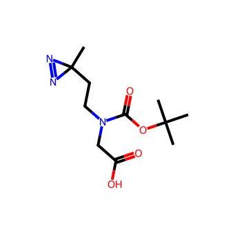 CC1(CCN(CC(=O)O)C(=O)OC(C)(C)C)N=N1